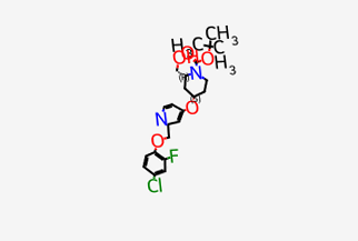 CC(C)(C)OC(=O)N1CC[C@H](Oc2ccnc(COc3ccc(Cl)cc3F)c2)C[C@@H]1CO